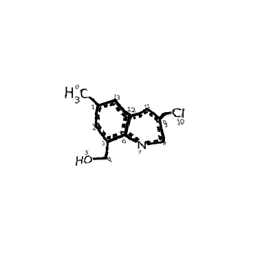 Cc1cc(CO)c2ncc(Cl)cc2c1